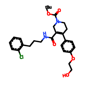 CC(C)(C)OC(=O)N1CCC(c2ccc(OCCO)cc2)=C(C(=O)NCCCc2ccccc2Cl)C1